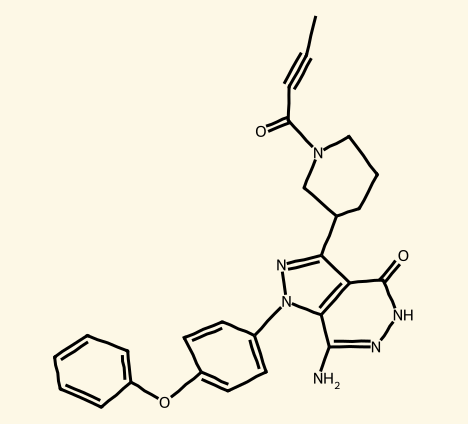 CC#CC(=O)N1CCCC(c2nn(-c3ccc(Oc4ccccc4)cc3)c3c(N)n[nH]c(=O)c23)C1